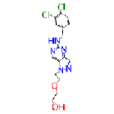 OCCOCCn1ncc2nc(NCc3ccc(Cl)c(Cl)c3)ncc21